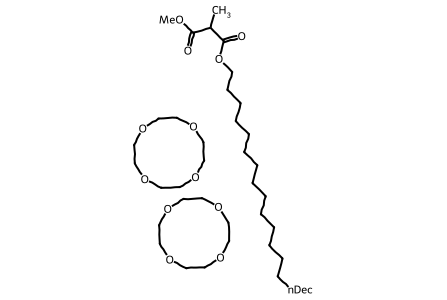 C1COCCOCCOCCO1.C1COCCOCCOCCO1.CCCCCCCCCCCCCCCCCCCCCCCCOC(=O)C(C)C(=O)OC